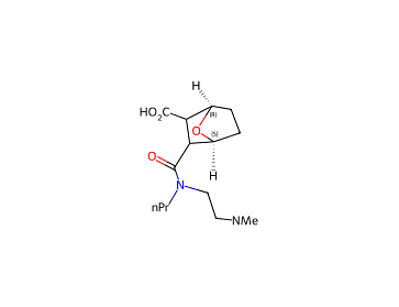 CCCN(CCNC)C(=O)C1C(C(=O)O)[C@H]2CC[C@@H]1O2